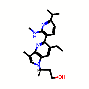 CCc1cc2c(nc1-c1ccc(C(C)C)nc1NC)c(C)cn2[C@H](C)CCO